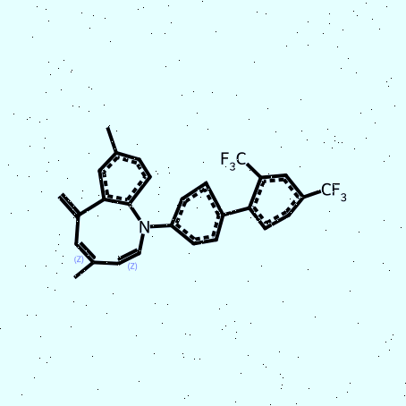 C=C1/C=C(C)\C=C/N(c2ccc(-c3ccc(C(F)(F)F)cc3C(F)(F)F)cc2)c2ccc(C)cc21